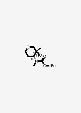 CN(C(=O)OC(C)(C)C)[C@@H]1CCOC[C@]1(C)O